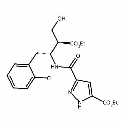 CCOC(=O)c1cc(C(=O)N[C@H](Cc2ccccc2Cl)[C@@H](CO)C(=O)OCC)n[nH]1